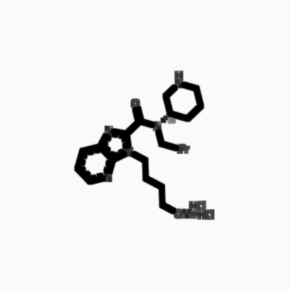 COCCCCn1c(C(=O)N(CC(C)C)[C@H]2CCCNC2)nc2cccnc21.Cl.Cl